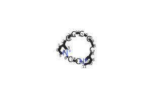 c1cc2c[n+](c1)CCCC[n+]1cccc(c1)CCCCCCCCCCCC2